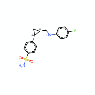 NS(=O)(=O)c1ccc([C@@H]2C[C@H]2CNc2ccc(F)cc2)cc1